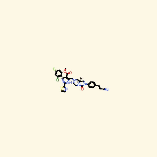 COC(=O)C1=C(CN2CCN3C(=O)N(c4ccc(CCC#N)cc4)C[C@@H]3C2)NC(c2nccs2)=N[C@H]1c1ccc(F)cc1Cl